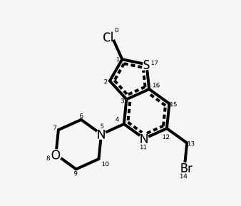 Clc1cc2c(N3CCOCC3)nc(CBr)cc2s1